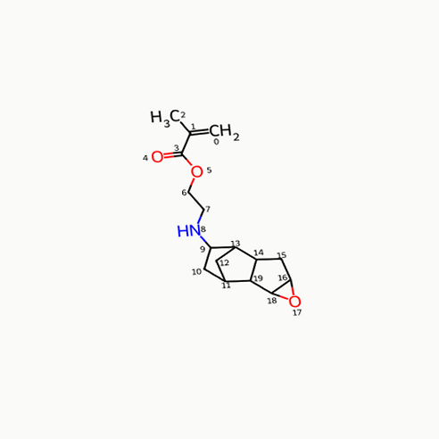 C=C(C)C(=O)OCCNC1CC2CC1C1CC3OC3C21